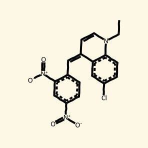 CCN1C=C/C(=C/c2ccc([N+](=O)[O-])cc2[N+](=O)[O-])c2cc(Cl)ccc21